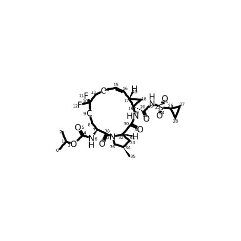 CC(C)OC(=O)N[C@H]1CCC(F)(F)CC/C=C\[C@@H]2C[C@@]2(C(=O)NS(=O)(=O)C2CC2)NC(=O)[C@@H]2C[C@@H](C)CN2C1=O